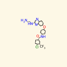 NCCNc1cnc2ccc(Oc3ccc(NC(=O)c4ccc(Cl)c(C(F)(F)F)c4)cc3)cc2n1